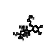 COCOc1cc(Cl)c(Br)cc1C(=O)NC(C)(C)CC(C)(C)C